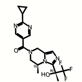 C[C@H]1CN(C(=O)c2cnc(C3CC3)nc2)Cc2cnc([C@@](C)(O)C(F)(F)F)n21